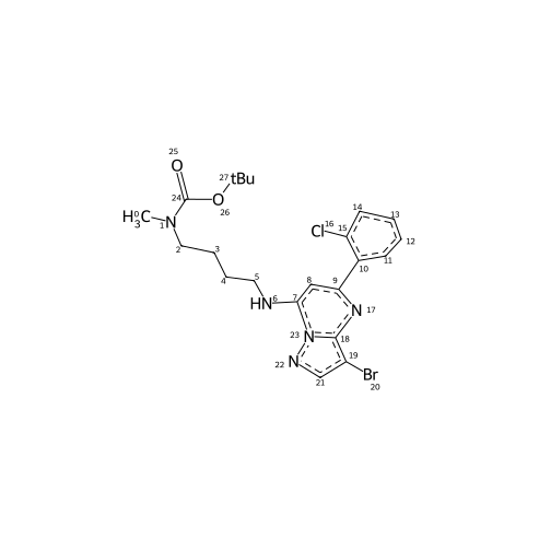 CN(CCCCNc1cc(-c2ccccc2Cl)nc2c(Br)cnn12)C(=O)OC(C)(C)C